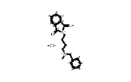 CN(CCCCN1C(=O)c2ccccc2C1=O)Cc1ccccc1.Cl